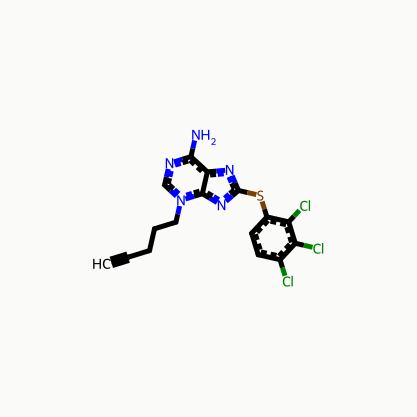 C#CCCCn1cnc(N)c2nc(Sc3ccc(Cl)c(Cl)c3Cl)nc1-2